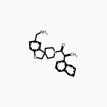 C=C(C(=O)N1CCC2(CC1)COc1ccc(CN)cc12)c1cccc2ccccc12